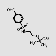 CC(C)(C)[Si](C)(C)OCCNS(=O)(=O)c1ccc(C=O)cc1